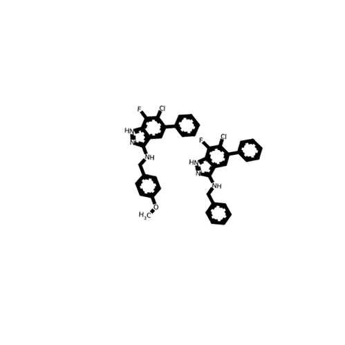 COc1ccc(CNc2n[nH]c3c(F)c(Cl)c(-c4ccccc4)cc23)cc1.Fc1c(Cl)c(-c2ccccc2)cc2c(NCc3ccccc3)n[nH]c12